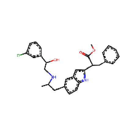 COC(=O)C(Cc1ccccc1)c1cc2cc(CC(C)NCC(O)c3cccc(Cl)c3)ccc2[nH]1